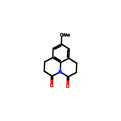 COc1cc2c3c(c1)CCC(=O)N3C(=O)CC2